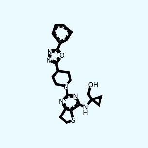 OCC1(Nc2nc(N3CCC(c4nnc(-c5ccccc5)o4)CC3)nc3c2SCC3)CC1